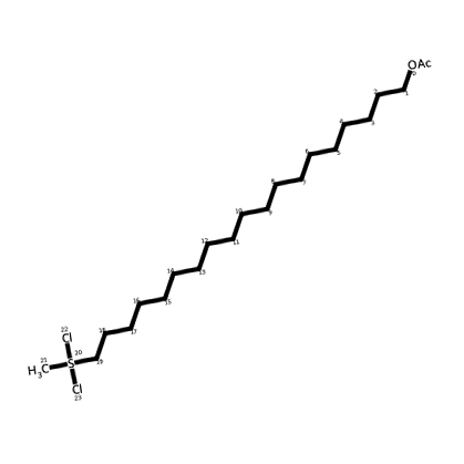 CC(=O)OCCCCCCCCCCCCCCCCCCCS(C)(Cl)Cl